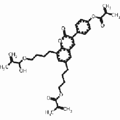 C=C(C)C(=O)OCCCCc1cc(CCCCOC(O)C(=C)C)c2oc(=O)c(-c3ccc(OC(=O)C(=C)C)cc3)cc2c1